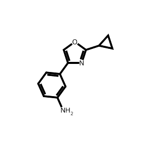 Nc1cccc(-c2coc(C3CC3)n2)c1